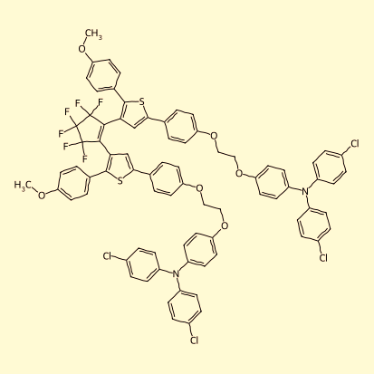 COc1ccc(-c2sc(-c3ccc(OCCOc4ccc(N(c5ccc(Cl)cc5)c5ccc(Cl)cc5)cc4)cc3)cc2C2=C(c3cc(-c4ccc(OCCOc5ccc(N(c6ccc(Cl)cc6)c6ccc(Cl)cc6)cc5)cc4)sc3-c3ccc(OC)cc3)C(F)(F)C(F)(F)C2(F)F)cc1